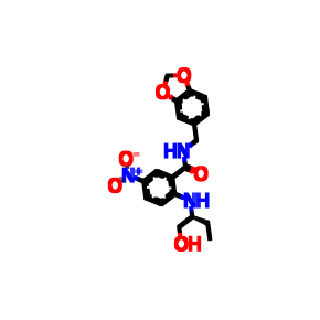 CC[C@@H](CO)Nc1ccc([N+](=O)[O-])cc1C(=O)NCc1ccc2c(c1)OCO2